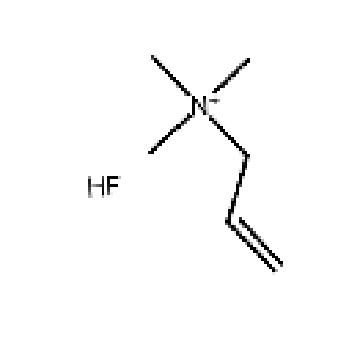 C=CC[N+](C)(C)C.F